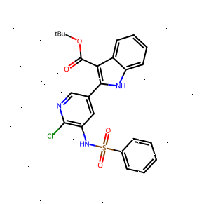 CC(C)(C)OC(=O)c1c(-c2cnc(Cl)c(NS(=O)(=O)c3ccccc3)c2)[nH]c2ccccc12